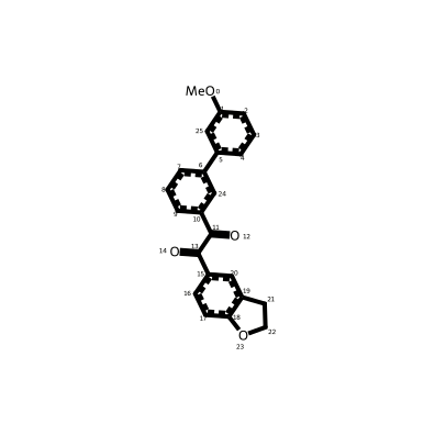 COc1cccc(-c2cccc(C(=O)C(=O)c3ccc4c(c3)CCO4)c2)c1